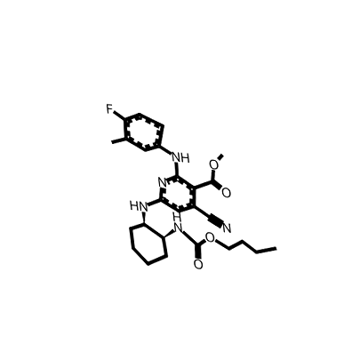 CCCCOC(=O)N[C@H]1CCCC[C@H]1Nc1cc(C#N)c(C(=O)OC)c(Nc2ccc(F)c(C)c2)n1